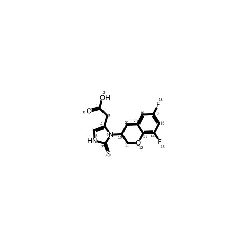 O=C(O)Cc1c[nH]c(=S)n1C1COc2c(F)cc(F)cc2C1